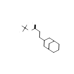 CC(=O)C(C)(OC(=O)CCC1CC2CCCC(C2)C1)S(=O)(=O)O